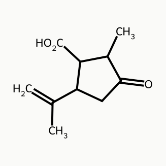 C=C(C)C1CC(=O)C(C)C1C(=O)O